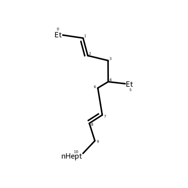 CCC=CCC(CC)CC=CCCCCCCCC